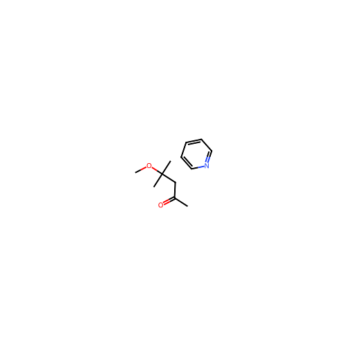 COC(C)(C)CC(C)=O.c1ccncc1